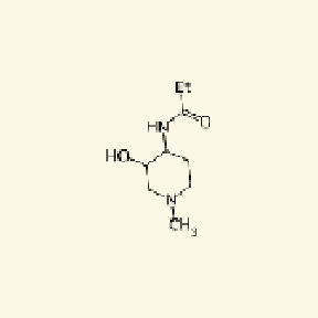 CCC(=O)NC1CCN(C)CC1O